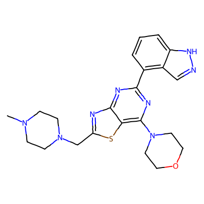 CN1CCN(Cc2nc3nc(-c4cccc5[nH]ncc45)nc(N4CCOCC4)c3s2)CC1